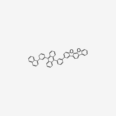 C1=CC(c2c3ccccc3c(-c3cccc(-c4ccc5oc6c(ccc7c8ccccc8oc76)c5c4)c3)c3ccccc23)=CC(c2cccc3ccccc23)C1